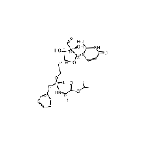 C=C[C@@]1(O)[C@H](O)[C@@H](CCOP(=S)(N[C@@H](C)C(=O)OC(C)C)Oc2ccccc2)O[C@H]1N1C=CC(=O)NC1O